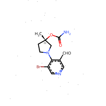 C[C@]1(OC(N)=O)CCN(c2c(Br)cncc2C=O)C1